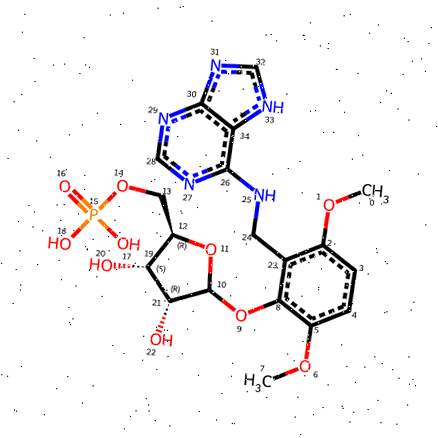 COc1ccc(OC)c(OC2O[C@H](COP(=O)(O)O)[C@@H](O)[C@H]2O)c1CNc1ncnc2nc[nH]c12